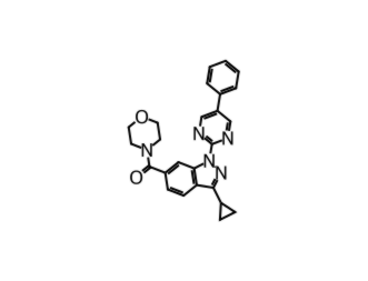 O=C(c1ccc2c(C3CC3)nn(-c3ncc(-c4ccccc4)cn3)c2c1)N1CCOCC1